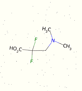 CN(C)CC(F)(F)C(=O)O